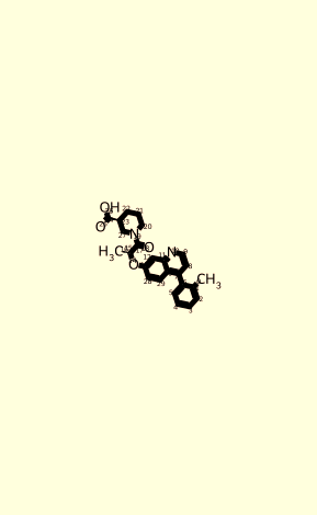 Cc1ccccc1-c1ccnc2cc(O[C@H](C)C(=O)N3CCC[C@H](C(=O)O)C3)ccc12